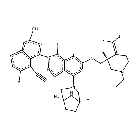 C#Cc1c(F)ccc2cc(O)cc(-c3ncc4c(N5C[C@H]6CC[C@@H](C5)N6)nc(OC[C@@]5(C)CN(CC)CCC5=C(F)F)nc4c3F)c12